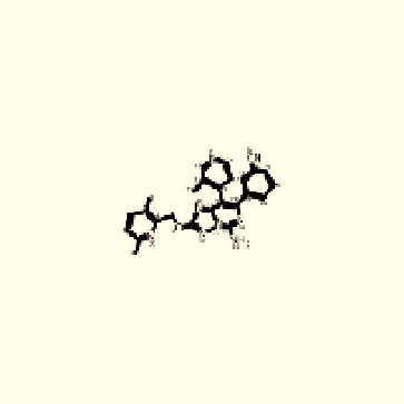 Cc1ccc(C)c(COc2nc3c(-c4ccncc4C)c(-c4cccc(C#N)c4)nc(N)n3n2)n1